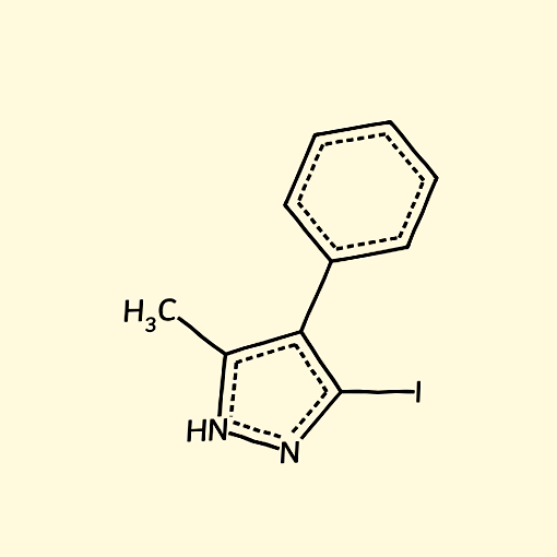 Cc1[nH]nc(I)c1-c1ccccc1